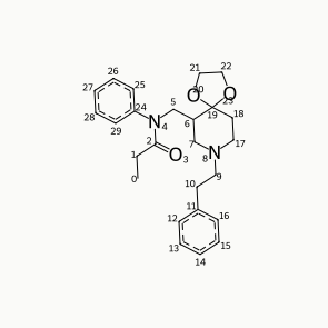 CCC(=O)N(CC1CN(CCc2ccccc2)CCC12OCCO2)c1ccccc1